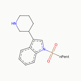 CCCCCS(=O)(=O)n1cc(C2CCCNC2)c2ccccc21